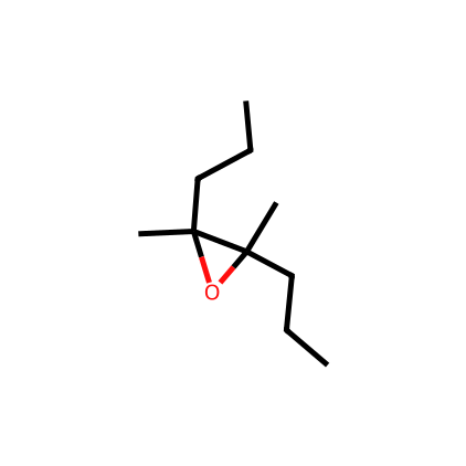 CCCC1(C)OC1(C)CCC